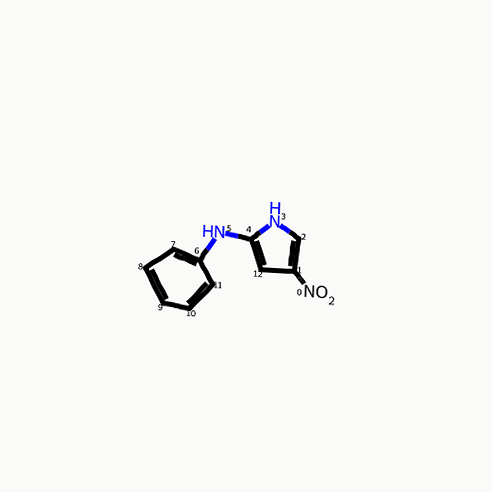 O=[N+]([O-])c1c[nH]c(Nc2ccccc2)c1